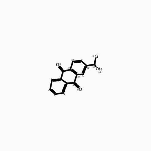 O=C1c2ccccc2C(=O)c2cc(C(O)Cl)ccc21